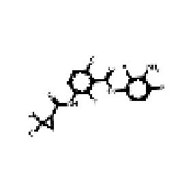 Nc1c(F)ccc(NC(=O)c2c(Cl)ccc(NC(=O)C3CC3(Cl)Cl)c2F)c1F